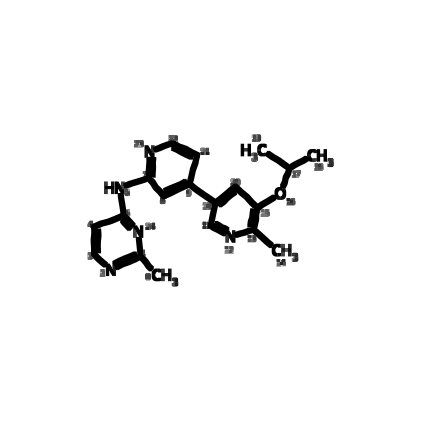 Cc1nccc(Nc2cc(-c3cnc(C)c(OC(C)C)c3)ccn2)n1